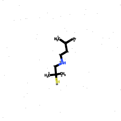 CC(C)C(C)CCNCC(C)(C)S